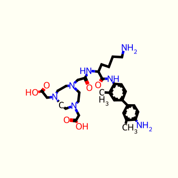 Cc1cc(-c2ccc(NC(=O)C(CCCCN)NC(=O)CN3CCN(CC(=O)O)CCN(CC(=O)O)CC3)c(C)c2)ccc1N